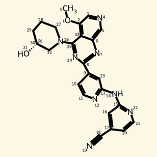 COc1cncc2nc(-c3ccnc(Nc4cc(C#N)ccn4)c3)nc(N3CCC[C@@H](O)C3)c12